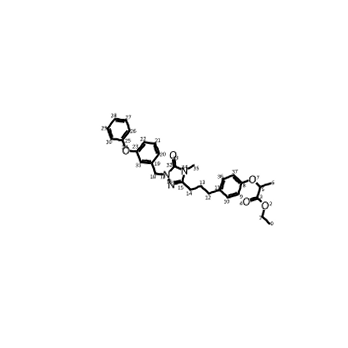 CCOC(=O)C(C)Oc1ccc(CCCc2nn(Cc3cccc(Oc4ccccc4)c3)c(=O)n2C)cc1